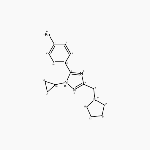 CC(C)(C)c1ccc(-c2nc(CN3CCCC3)nn2C2CC2)cc1